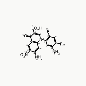 Nc1cc(-n2cc(C(=O)O)c(=O)c3cc([N+](=O)[O-])c(N)cc32)c(F)cc1F